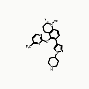 CC(=O)N1c2ccc(-c3cnn(C4CCNCC4)c3)c(Oc3nccc(C(F)(F)F)n3)c2CC[C@@H]1C